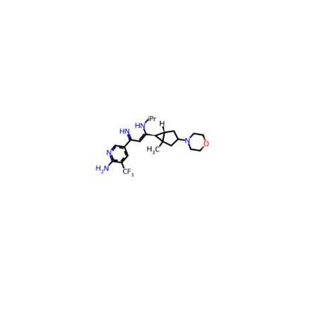 CC(C)N/C(=C\C(=N)c1cnc(N)c(C(F)(F)F)c1)[C@H]1[C@@H]2CC(N3CCOCC3)CC21C